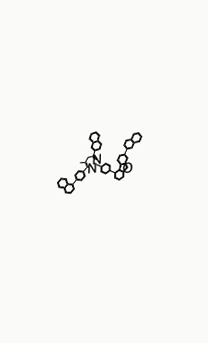 CC1=C(c2ccc(-c3cccc4ccccc34)cc2)N=C(c2ccc(-c3cccc4oc5cc(-c6ccc7ccccc7c6)ccc5c34)cc2)N=C(c2ccc3ccccc3c2)C1